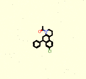 CC(=O)N1CCCC2=C1CC(c1ccccc1)c1cc(Cl)ccc12